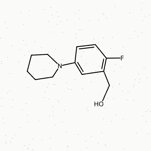 OCc1cc(N2CCCCC2)ccc1F